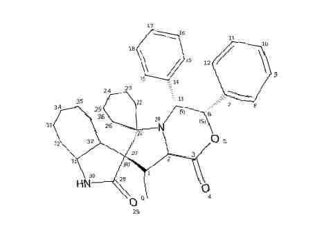 CC1C2C(=O)O[C@@H](c3ccccc3)[C@@H](c3ccccc3)N2C2(CCCCC2)[C@@]12C(=O)NC1CCCCCC12